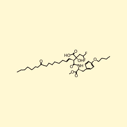 CCCCCCCC(=O)CCCCCCC=C[C@H](C(=O)N[C@@H](Cc1ccc(OCCCC)cc1)C(=O)OC)[C@@](O)(CC(F)F)C(=O)O